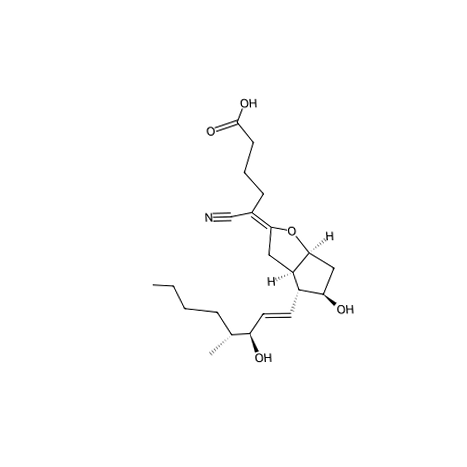 CCCC[C@@H](C)[C@H](O)C=C[C@@H]1[C@H]2CC(=C(C#N)CCCC(=O)O)O[C@H]2C[C@H]1O